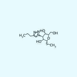 CCCc1cn([C@@H]2C(O)[C@H](SC)OC(CO)[C@@H]2O)nn1